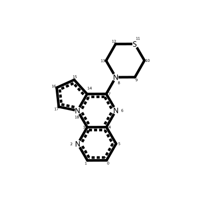 c1cnc2c(c1)nc(N1CCSCC1)c1cccn12